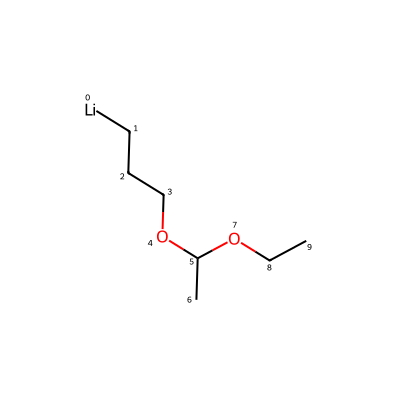 [Li][CH2]CCOC(C)OCC